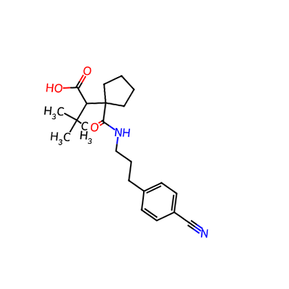 CC(C)(C)C(C(=O)O)C1(C(=O)NCCCc2ccc(C#N)cc2)CCCC1